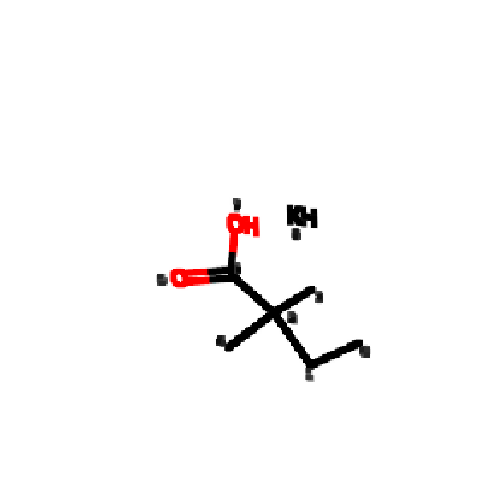 CCC(C)(C)C(=O)O.[KH]